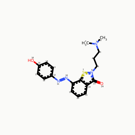 CN(C)CCCn1sc2c(N=Nc3ccc(O)cc3)cccc2c1=O